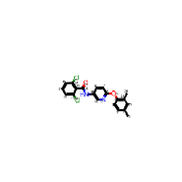 Cc1ccc(Oc2ccc(NC(=O)c3c(Cl)cccc3Cl)cn2)c(C)c1